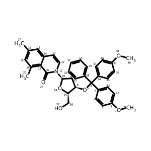 COc1ccc(C(O[C@@H]2C[C@H](n3ccc4cc(C)cc(C)c4c3=O)O[C@@H]2CO)(c2ccccc2)c2ccc(OC)cc2)cc1